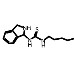 CCCCCNC(=S)NC1NCc2ccccc21